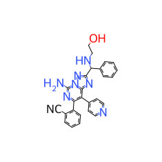 N#Cc1ccccc1-c1nc(N)n2nc(C(NCCO)c3ccccc3)nc2c1-c1ccncc1